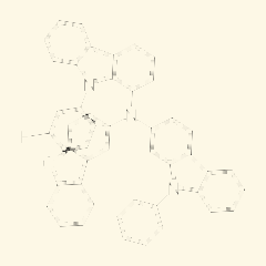 Fc1cccc(-n2c3ccccc3c3cccc(N(c4ccc5oc6ccccc6c5c4)c4ccc5c6ccccc6n(-c6ccccc6)c5c4)c32)c1